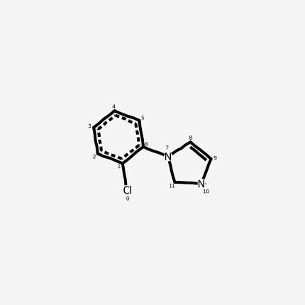 Clc1ccccc1N1C=C[N]C1